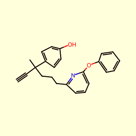 C#CC(C)(CCCc1cccc(Oc2ccccc2)n1)c1ccc(O)cc1